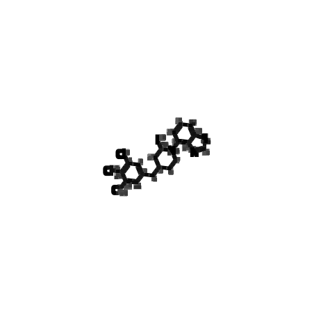 Clc1cc(CC2CCN(c3cccc4scnc34)C(I)C2)cc(Cl)c1Cl